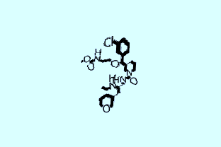 CCN[C@H](CNC(=O)N1CCC[C@@H]([C@@H](OCCNC(=O)OC)c2cccc(Cl)c2)C1)C[C@H]1CCCOC1